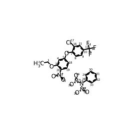 CCOc1cc(Oc2ccc(C(F)(F)F)cc2Cl)ccc1[N+](=O)[O-].O=[N+]([O-])N(c1ccccc1)[N+](=O)[O-]